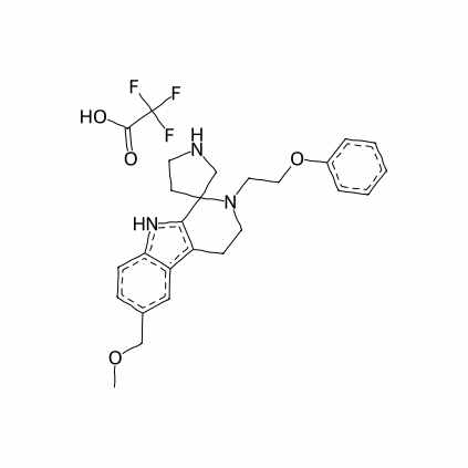 COCc1ccc2[nH]c3c(c2c1)CCN(CCOc1ccccc1)C31CCNC1.O=C(O)C(F)(F)F